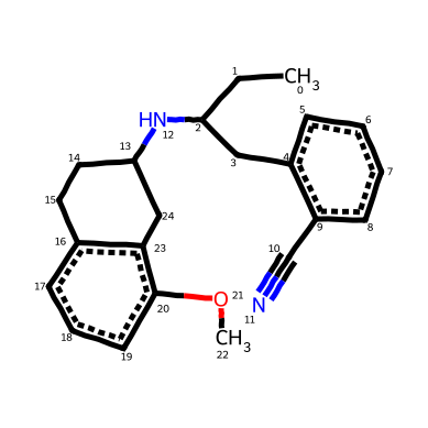 CCC(Cc1ccccc1C#N)NC1CCc2cccc(OC)c2C1